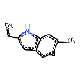 C=Cc1cc2ccc(C(F)(F)F)cc2[nH]1